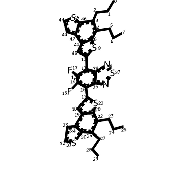 CCCc1c(CCC)c2sc(-c3c(F)c(F)c(-c4cc5c(s4)c(CCC)c(CCC)c4sccc45)c4nsnc34)cc2c2ccsc12